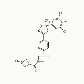 O=C(C1C[S+]([O-])C1)N1CC(F)(c2ccc(C3=NOC(c4cc(Cl)c(F)c(Cl)c4)(C(F)(F)F)C3)cn2)C1